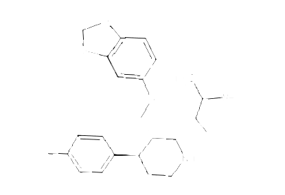 Fc1ccc([C@@H]2CCNC[C@H]2COc2ccc3c(c2)OCO3)cc1.NC(CC(=O)O)C(=O)O